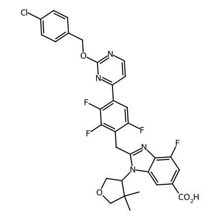 CC1(C)COCC1n1c(Cc2c(F)cc(-c3ccnc(OCc4ccc(Cl)cc4)n3)c(F)c2F)nc2c(F)cc(C(=O)O)cc21